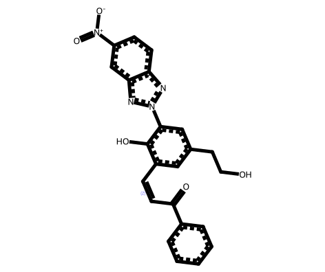 O=C(/C=C\c1cc(CCO)cc(-n2nc3ccc([N+](=O)[O-])cc3n2)c1O)c1ccccc1